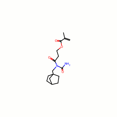 C=C(C)C(=O)OCCC(=O)N(CC12CCC(CC1)C2)C(N)=O